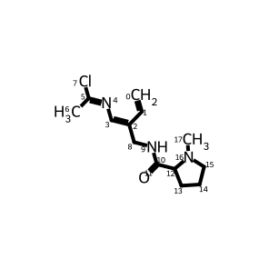 C=C/C(=C\N=C(/C)Cl)CNC(=O)C1CCCN1C